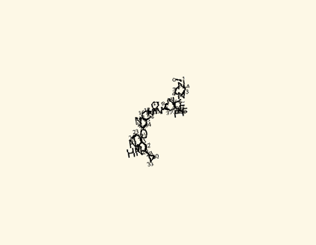 CCN1CCN(Cc2ncc(NC(=O)N3CCc4ncc(Oc5ccnc6[nH]c(C7CC7)cc56)cc4C3)cc2C(F)(F)F)CC1